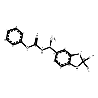 C[C@H](NC(=O)Oc1ccccc1)c1ccc2c(c1)OC(F)(F)O2